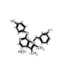 Cc1c(C)n(Cc2cccc(F)c2)c2c(Oc3ccc(F)cc3)nccc12.Cl